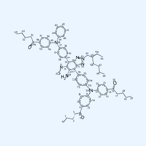 CCCCC(=O)c1ccc(N(c2ccc(C(=O)CCCC)cc2)c2ccc(-c3c(N)c(N=S)c(-c4ccc(N(c5ccccc5)c5ccc(C(=O)CCCC)cc5)cc4)c4nn(CC(CC)CCCC)nc34)cc2)cc1